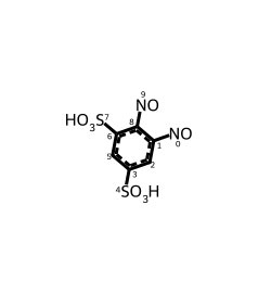 O=Nc1cc(S(=O)(=O)O)cc(S(=O)(=O)O)c1N=O